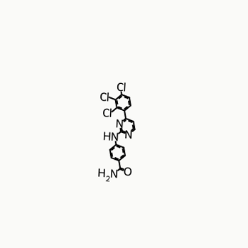 NC(=O)c1ccc(Nc2nccc(-c3ccc(Cl)c(Cl)c3Cl)n2)cc1